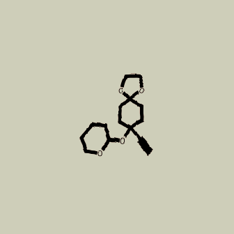 C#CC1(OC2CCCCO2)CCC2(CC1)OCCO2